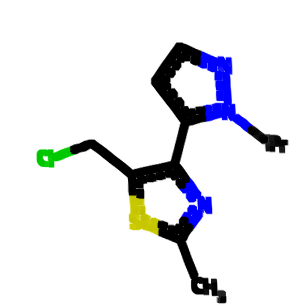 Cc1nc(-c2ccnn2C(C)C)c(CCl)s1